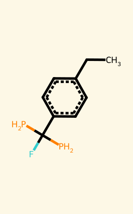 CCc1ccc(C(F)(P)P)cc1